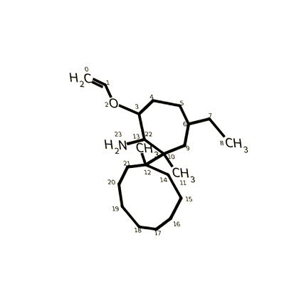 C=COC1CCC(CC)CC(C)(C2(C)CCCCCCCC2)C1N